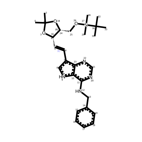 CC1(C)O[C@@H](/C=C/c2c[nH]c3c(NCc4ccccc4)ncnc23)[C@@H](CO[Si](C)(C)C(C)(C)C)O1